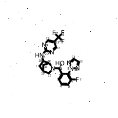 O[C@H](c1cccc(F)c1-n1nccn1)N1CC2CC(Nc3ncc(C(F)(F)F)cn3)C1C2